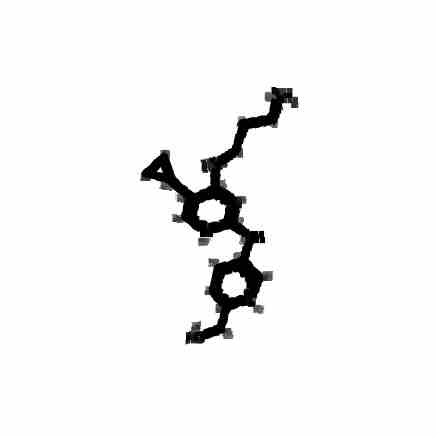 NCCCNc1nc(Nc2ccc(CO)nc2)ncc1C1CC1